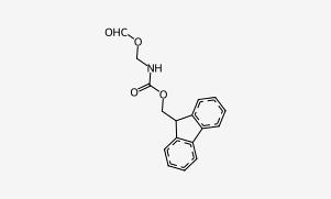 O=COCNC(=O)OCC1c2ccccc2-c2ccccc21